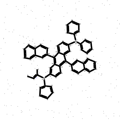 C/C=C(\C)N(c1ccccc1)c1ccc2c(-c3ccc4ccccc4c3)c3cc(N(c4ccccc4)c4ccccc4)ccc3c(-c3ccc4ccccc4c3)c2c1